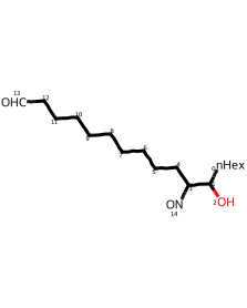 CCCCCCC(O)C(CCCCCCCCCC=O)N=O